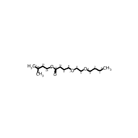 CCCCOCCOCCCC(=O)OCCC(C)C